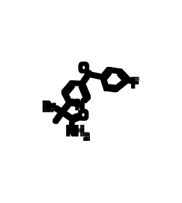 CC(Br)(C(N)=O)c1ccc(C(=O)c2ccc(F)cc2)cn1